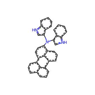 c1ccc2c(N(c3c[nH]c4ccccc34)c3ccc4c5cccc6cccc(c7cccc3c74)c65)c[nH]c2c1